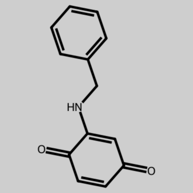 O=C1C=CC(=O)C(NCc2ccccc2)=C1